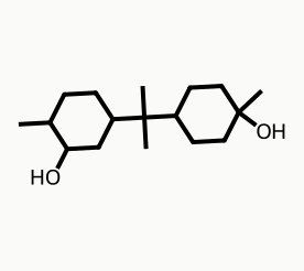 CC1CCC(C(C)(C)C2CCC(C)(O)CC2)CC1O